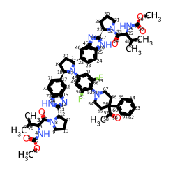 COC(=O)N[C@H](C(=O)N1CCC[C@H]1c1nc2cc([C@H]3CC[C@H](c4ccc5[nH]c([C@@H]6CCCN6C(=O)[C@@H](NC(=O)OC)C(C)C)nc5c4)N3c3cc(F)c(N4CCC(C(C)=O)(c5ccccc5)CC4)c(F)c3)ccc2[nH]1)C(C)C